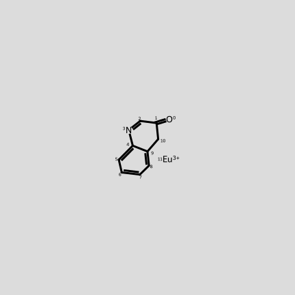 O=C1C=Nc2ccccc2C1.[Eu+3]